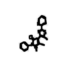 Cc1sc(-c2ccccn2)nc1-c1c(C)n(C)n(-c2ccccc2)c1=O